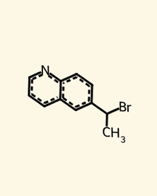 CC(Br)c1ccc2ncccc2c1